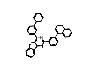 c1ccc(-c2cccc(-c3nc(-c4cccc(-c5cccc6ccccc56)c4)nc4c3oc3ccccc34)c2)cc1